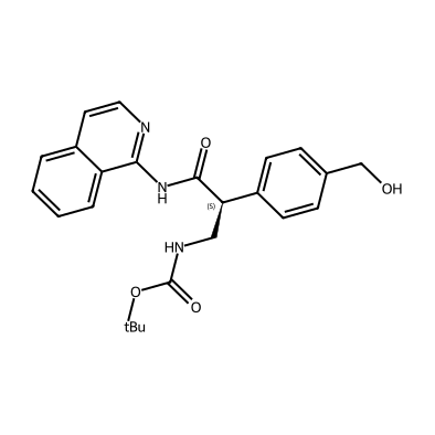 CC(C)(C)OC(=O)NC[C@@H](C(=O)Nc1nccc2ccccc12)c1ccc(CO)cc1